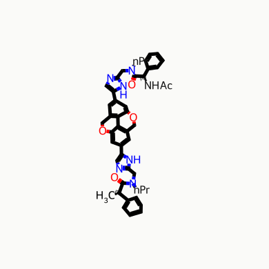 CCCN(Cc1ncc(-c2cc3c4c(c2)OCc2cc(-c5cnc(CN(CCC)C(=O)[C@H](NC(C)=O)c6ccccc6)[nH]5)cc(c2-4)OC3)[nH]1)C(=O)[C@H](C)c1ccccc1